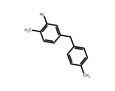 CC(=O)c1cc(Cc2ccc(C)cc2)ccc1C